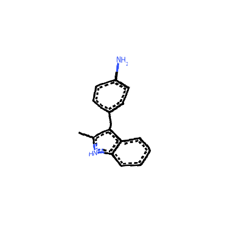 Cc1[nH]c2ccccc2c1-c1ccc(N)cc1